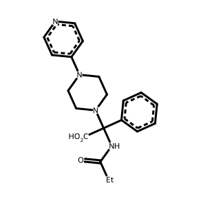 CCC(=O)NC(C(=O)O)(c1ccccc1)N1CCN(c2ccncc2)CC1